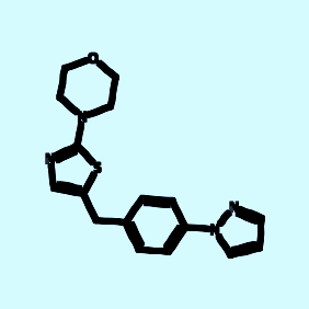 c1cnn(-c2ccc(Cc3cnc(N4CCOCC4)s3)cc2)c1